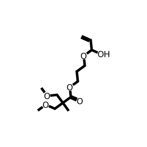 C=CC(O)OCCCOC(=O)C(C)(COC)COC